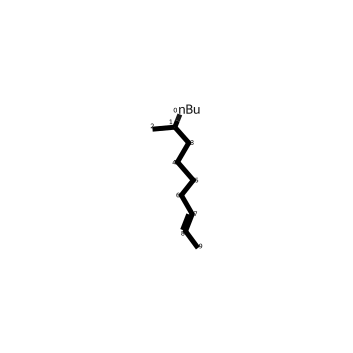 [CH2]CCCC(C)CCCC/C=C/C